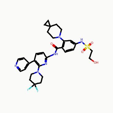 O=C(Nc1ccc(-c2ccncc2)c(N2CCC(F)(F)CC2)n1)c1ccc(NS(=O)(=O)CCO)cc1N1CCC2(CC1)CC2